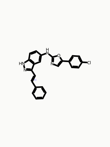 Clc1ccc(-c2cnc(Nc3ccc4[nH]nc(/C=C/c5ccccc5)c4c3)o2)cc1